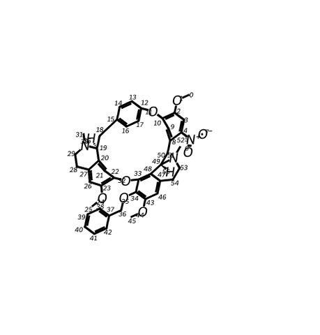 COc1cc([N+](=O)[O-])c2cc1Oc1ccc(cc1)C[C@H]1c3cc(c(OC)cc3CCN1C)Oc1c(OCc3ccccc3)c(OC)cc3c1[C@H](C2)N(C)CC3